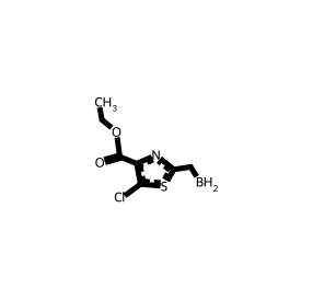 BCc1nc(C(=O)OCC)c(Cl)s1